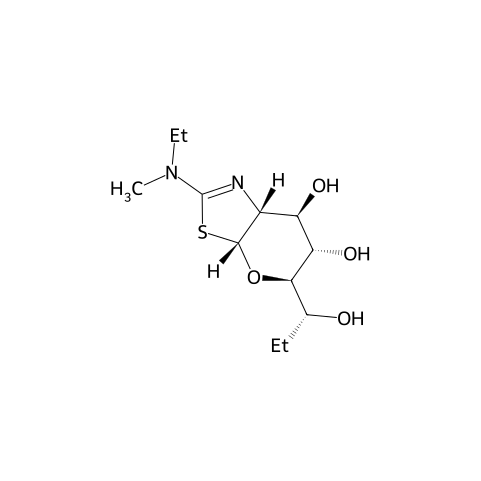 CC[C@@H](O)[C@H]1O[C@@H]2SC(N(C)CC)=N[C@@H]2[C@@H](O)[C@@H]1O